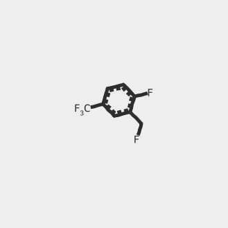 FCc1cc(C(F)(F)F)ccc1F